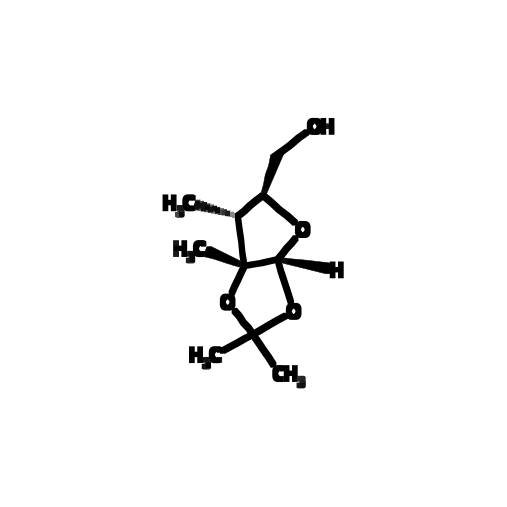 C[C@@H]1[C@@H](CO)O[C@@H]2OC(C)(C)O[C@@]21C